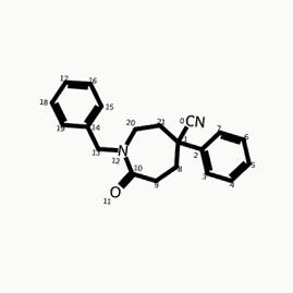 N#CC1(c2ccccc2)CCC(=O)N(Cc2ccccc2)CC1